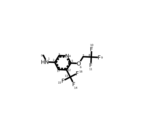 CNc1cnc(OCC(F)(F)F)c(C(F)(F)F)c1